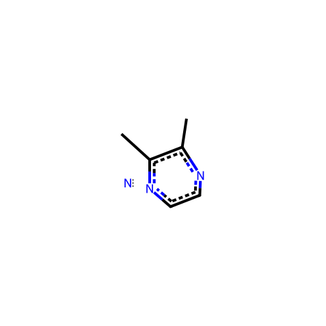 Cc1nccnc1C.[N]